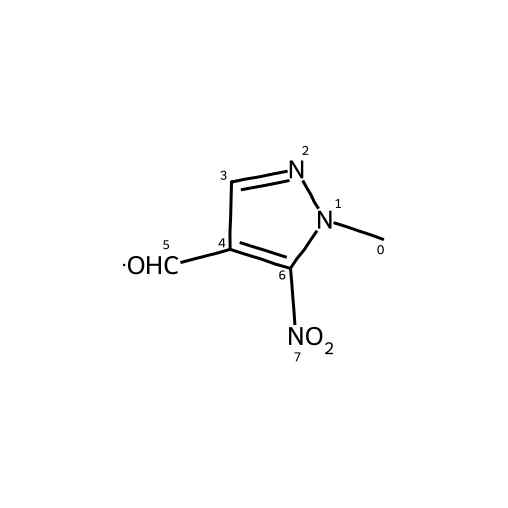 Cn1ncc([C]=O)c1[N+](=O)[O-]